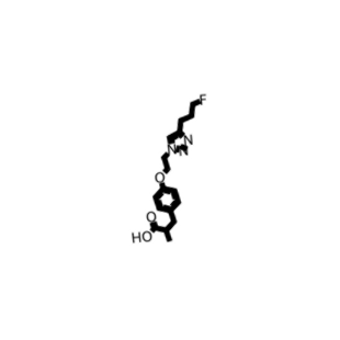 CC(Cc1ccc(OCCn2cc(CCCF)nn2)cc1)C(=O)O